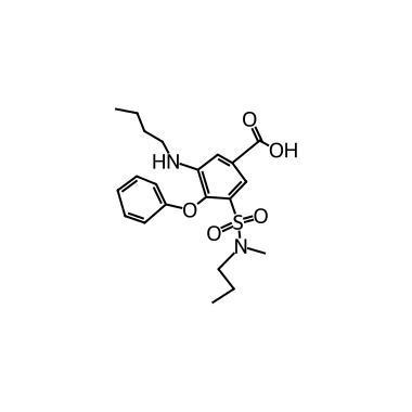 CCCCNc1cc(C(=O)O)cc(S(=O)(=O)N(C)CCC)c1Oc1ccccc1